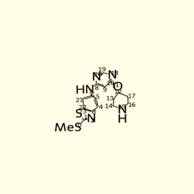 CSc1nc2ccc(Nc3cc(OC4CCNCC4)ncn3)cc2s1